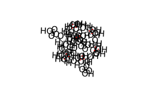 CS(=O)(=O)OC[C@H]1O[C@@H]2O[C@H]3[C@H](O)[C@@H](O)[C@@H](O[C@H]4[C@H](O)[C@@H](O)[C@@H](O[C@H]5[C@H](O)[C@@H](O)[C@@H](O[C@H]6[C@H](O)[C@@H](O)[C@@H](O[C@H]7[C@H](O)[C@@H](O)[C@@H](O[C@H]1[C@H](O)[C@H]2O)O[C@@H]7COS(=O)(=O)O)O[C@@H]6COS(=O)(=O)O)O[C@@H]5COS(=O)(=O)O)O[C@@H]4COS(=O)(=O)O)O[C@@H]3COS(=O)(=O)O